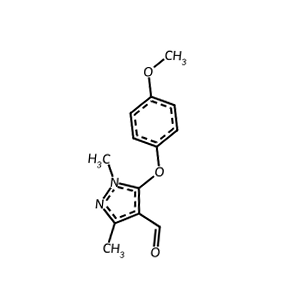 COc1ccc(Oc2c(C=O)c(C)nn2C)cc1